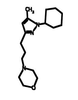 Cc1cc(CCCN2CCOCC2)nn1C1CCCCC1